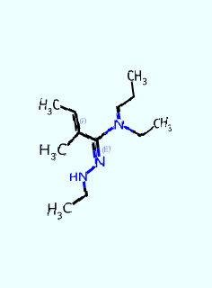 C/C=C(C)/C(=N\NCC)N(CC)CCC